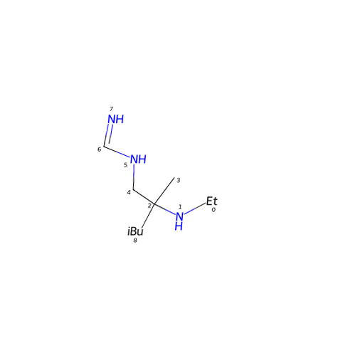 CCNC(C)(CNC=N)C(C)CC